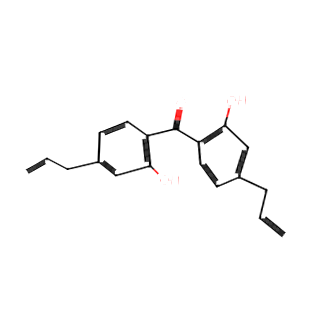 C=CCc1ccc(C(=O)c2ccc(CC=C)cc2O)c(O)c1